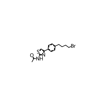 CC(=O)Nc1nc(-c2ccc(CCCCBr)cc2)cs1